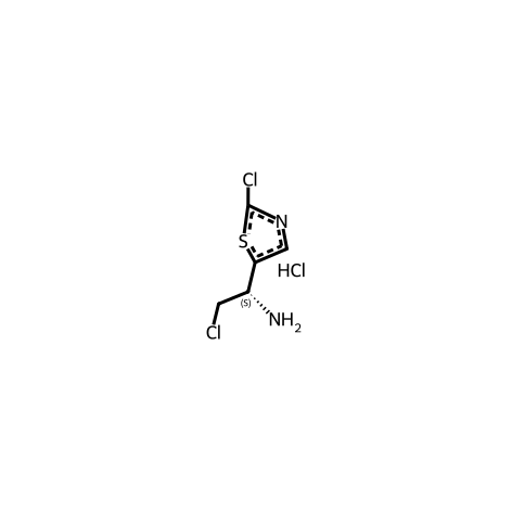 Cl.N[C@H](CCl)c1cnc(Cl)s1